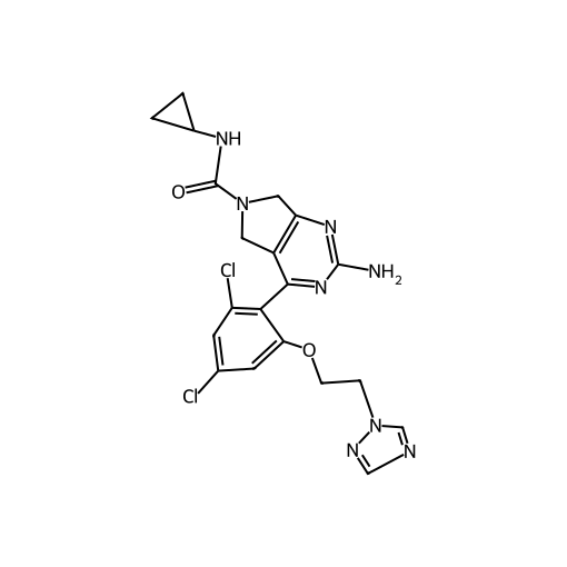 Nc1nc2c(c(-c3c(Cl)cc(Cl)cc3OCCn3cncn3)n1)CN(C(=O)NC1CC1)C2